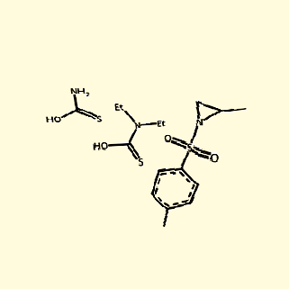 CCN(CC)C(O)=S.Cc1ccc(S(=O)(=O)N2CC2C)cc1.NC(O)=S